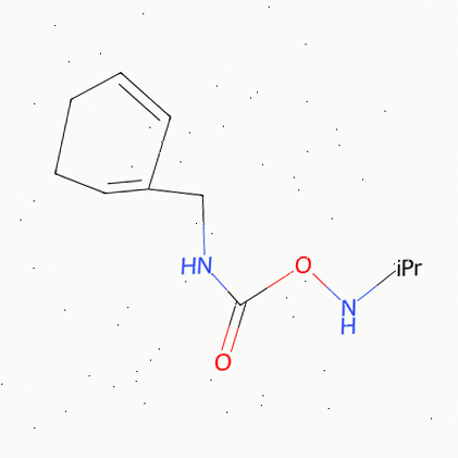 CC(C)NOC(=O)NCC1=CCCC=C1